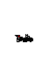 O=S(=O)(Nc1cc(-c2ccc(OC3CC3)c(Cl)c2)ncn1)c1ccccc1